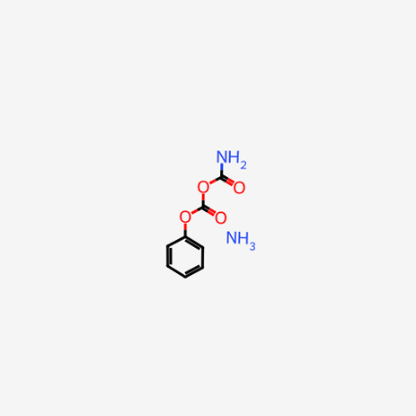 N.NC(=O)OC(=O)Oc1ccccc1